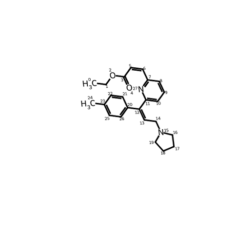 CCOC(=O)/C=C\c1cccc(/C(=C\CN2CCCC2)c2ccc(C)cc2)n1